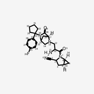 N#CC1C[C@@H]2C[C@@H]2N1C(=O)C(N)CN1CC2C[C@H]1C(=O)N2C1(c2ccc(F)cc2)CCCC1